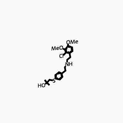 COc1ccc(CCNCCc2ccc(SCC(C)(C)O)cc2)c(Cl)c1OC